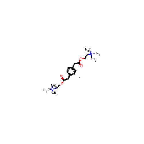 C[N+](C)(C)CCOC(=O)Cc1ccc(CC(=O)OCC[N+](C)(C)C)cc1.[I-].[I-]